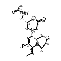 C/C=C(\C(F)=C/CN1CC(=O)O[C@@H](CNC(C)=O)C1)N1CCOCC1